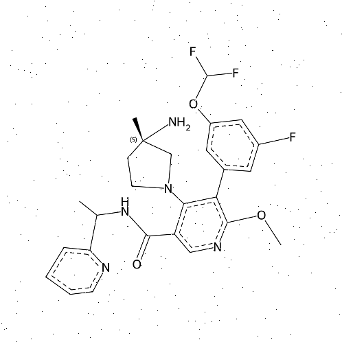 COc1ncc(C(=O)NC(C)c2ccccn2)c(N2CC[C@](C)(N)C2)c1-c1cc(F)cc(OC(F)F)c1